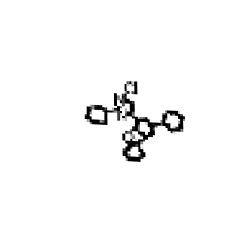 Clc1cc(-c2cc(-c3ccccc3)cc3c2oc2ccccc23)nc(-c2ccccc2)n1